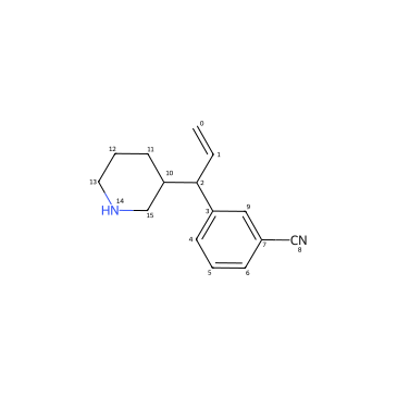 C=CC(c1cccc(C#N)c1)C1CCCNC1